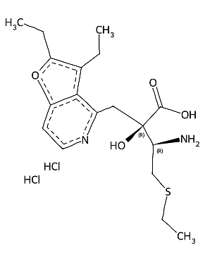 CCSC[C@H](N)[C@](O)(Cc1nccc2oc(CC)c(CC)c12)C(=O)O.Cl.Cl